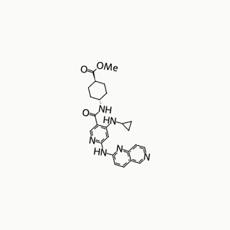 COC(=O)[C@H]1CC[C@H](NC(=O)c2cnc(Nc3ccc4cnccc4n3)cc2NC2CC2)CC1